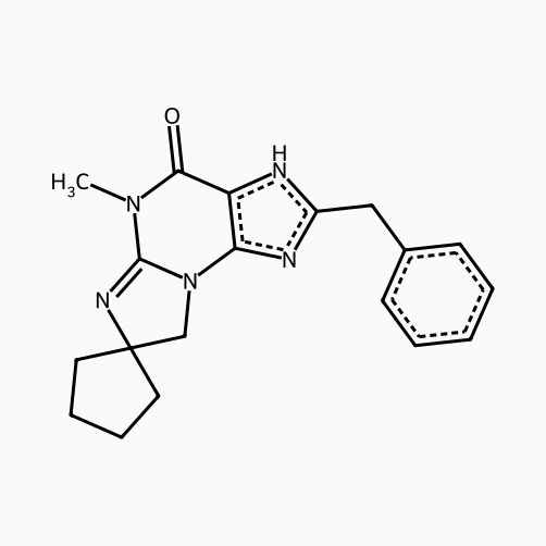 CN1C(=O)c2[nH]c(Cc3ccccc3)nc2N2CC3(CCCC3)N=C12